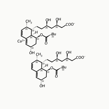 CC[C@H](C)C(=O)O[C@H]1C[C@H](O)C=C2C=C[C@H](C)[C@H](CC[C@@H](O)C[C@@H](O)CC(=O)[O-])[C@H]21.CC[C@H](C)C(=O)O[C@H]1C[C@H](O)C=C2C=C[C@H](C)[C@H](CC[C@@H](O)C[C@@H](O)CC(=O)[O-])[C@H]21.[Ca+2]